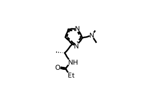 CCC(=O)N[C@H](C)c1ccnc(N(C)C)n1